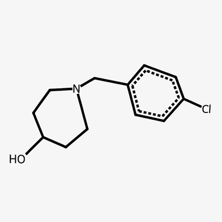 OC1CCN(Cc2ccc(Cl)cc2)CC1